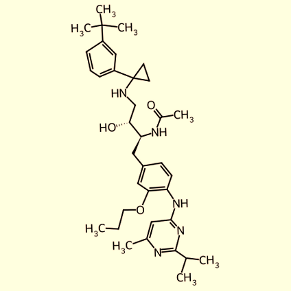 CCCOc1cc(C[C@H](NC(C)=O)[C@H](O)CNC2(c3cccc(C(C)(C)C)c3)CC2)ccc1Nc1cc(C)nc(C(C)C)n1